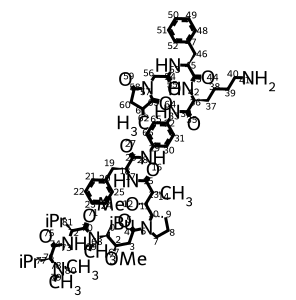 CC[C@H](C)[C@@H]([C@@H](CC(=O)N1CCC[C@H]1[C@H](OC)[C@@H](C)C(=O)N[C@@H](Cc1ccccc1)C(=O)Nc1ccc(NC(=O)[C@H](CCCCN)NC(=O)[C@H](Cc2ccccc2)NC(=O)CN2C(=O)CC(C)C2=O)cc1)OC)N(C)C(=O)[C@@H](NC(=O)[C@H](C(C)C)N(C)C)C(C)C